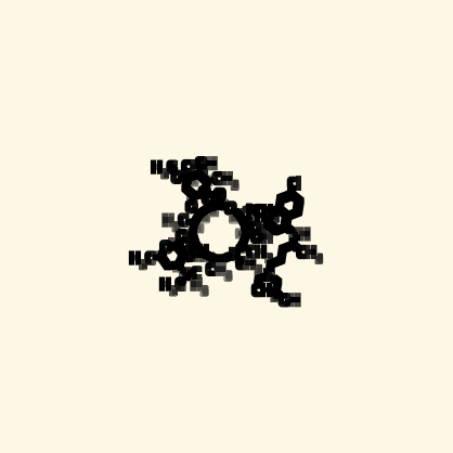 CCN(CCO)CCCC(C)Nc1ccnc2cc(Cl)ccc12.CC[C@H]1OC(=O)[C@H](C)[C@@H](O[C@H]2C[C@@](C)(OC)[C@@H](O)[C@H](C)O2)[C@H](C)[C@@H](O[C@@H]2O[C@H](C)C[C@H](N(C)C)[C@H]2O)[C@](C)(O)C[C@@H](C)CN(C)[C@H](C)[C@@H](O)[C@]1(C)O